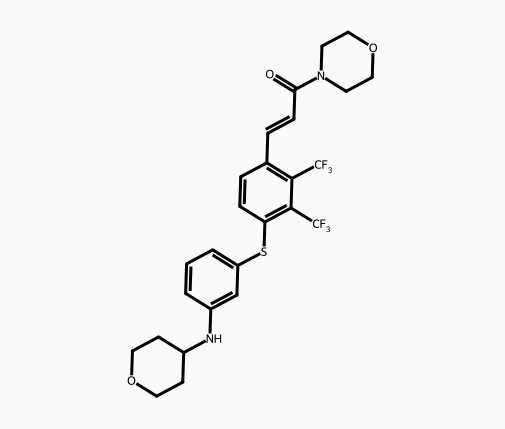 O=C(C=Cc1ccc(Sc2cccc(NC3CCOCC3)c2)c(C(F)(F)F)c1C(F)(F)F)N1CCOCC1